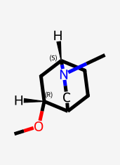 CO[C@@H]1C[C@@H]2CCC1CN2C